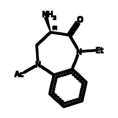 CCN1C(=O)[C@@H](N)CN(C(C)=O)c2ccccc21